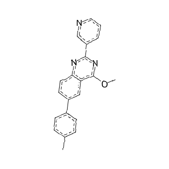 COc1nc(-c2cccnc2)nc2ccc(-c3ccc(C)cc3)cc12